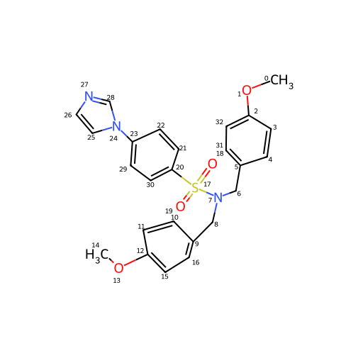 COc1ccc(CN(Cc2ccc(OC)cc2)S(=O)(=O)c2ccc(-n3ccnc3)cc2)cc1